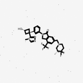 C[C@@H]1CN(Cc2cc3c(c(C(F)(F)F)c2)CN(c2cccc([C@]4(c5nncn5C)C[C@@H](O)C4)c2)C3=O)CCC1(F)F